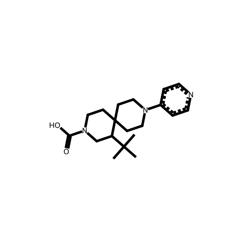 CC(C)(C)C1CN(C(=O)O)CCC12CCN(c1ccncc1)CC2